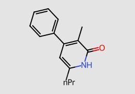 CCCc1cc(-c2ccccc2)c(C)c(=O)[nH]1